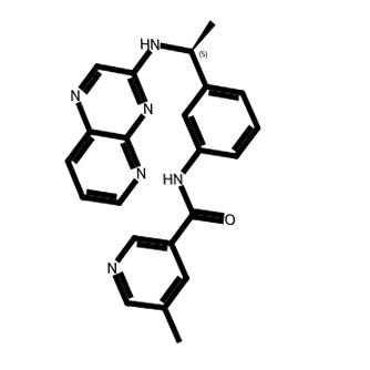 Cc1cncc(C(=O)Nc2cccc([C@H](C)Nc3cnc4cccnc4n3)c2)c1